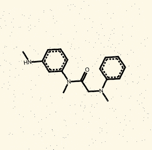 CNc1cccc(N(C)C(=O)CN(C)c2ccccc2)c1